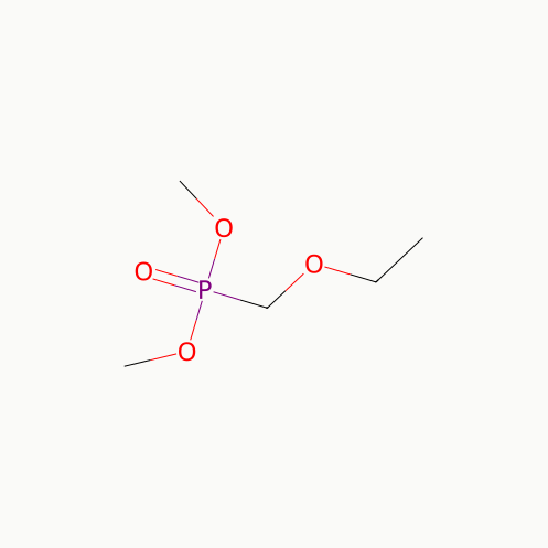 CCOCP(=O)(OC)OC